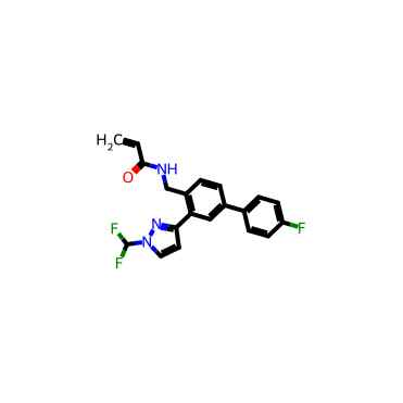 C=CC(=O)NCc1ccc(-c2ccc(F)cc2)cc1-c1ccn(C(F)F)n1